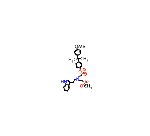 COc1ccc(C(C)(C)c2ccc(OS(=O)(=O)CCN(CCc3c[nH]c4ccccc34)CCS(C)(=O)=O)cc2)cc1